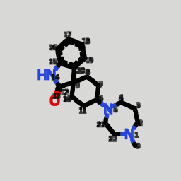 CN1CCCN(C2CCC3(CC2)C(=O)Nc2ccccc23)CC1